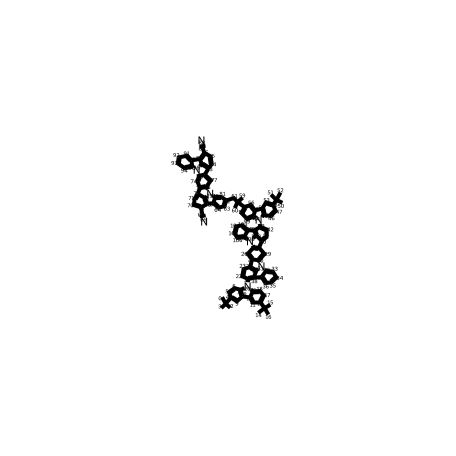 CC(C)(C)c1ccc2c(c1)c1cc(C(C)(C)C)ccc1n2-c1ccc2c3cc4c(cc3n3c5ccccc5c1c23)c1ccc(-n2c3ccc(C(C)(C)C)cc3c3cc(C(C)(C)Cc5ccc6c7c(C#N)ccc8c9cc%10c(cc9n(c6c5)c87)c5ccc(C#N)c6c7ccccc7n%10c56)ccc32)c2c3ccccc3n4c12